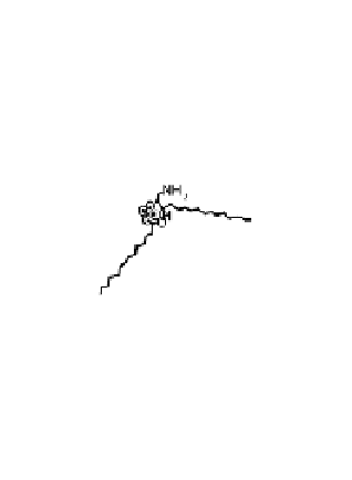 CCCCCCCCCCCCCC(=O)OP(=O)(O)OC(CN)C(=O)CCCCCCCCCCCCC